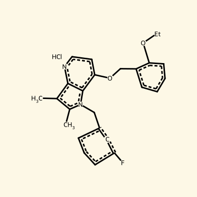 CCOc1ccccc1COc1ccnc2c(C)c(C)n(Cc3cccc(F)c3)c12.Cl